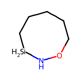 C1CCON[SiH2]CC1